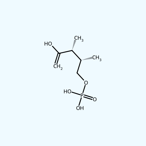 C=C(O)[C@H](C)[C@H](C)COP(=O)(O)O